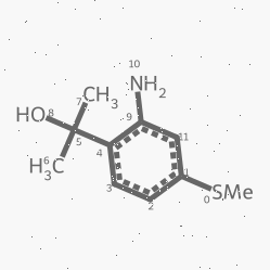 CSc1ccc(C(C)(C)O)c(N)c1